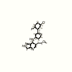 COCCc1cnc2c[nH]nc2c1Nc1ccnc(-c2cc(Cl)ccc2F)c1